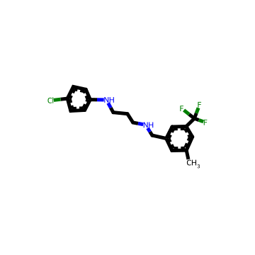 Cc1cc(CNCCCNc2ccc(Cl)cc2)cc(C(F)(F)F)c1